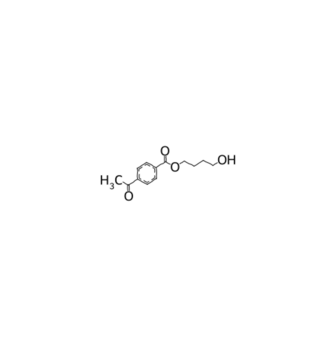 CC(=O)c1ccc(C(=O)OCCCCO)cc1